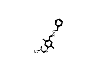 CCN(C)/C=N\c1cc(C)c(/C=N/OCc2ccccc2)cc1C